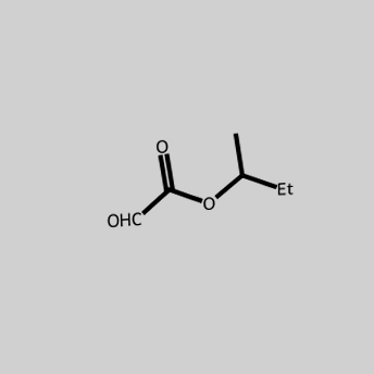 CCC(C)OC(=O)C=O